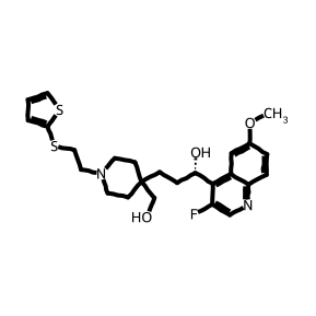 COc1ccc2ncc(F)c([C@@H](O)CCC3(CO)CCN(CCSc4cccs4)CC3)c2c1